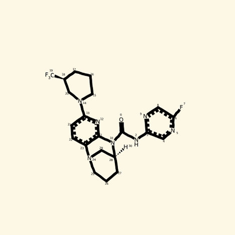 O=C(Nc1cnc(F)cn1)N1c2nc(N3CCC[C@H](C(F)(F)F)C3)ccc2N2CCC[C@H]1C2